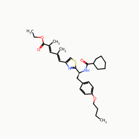 CCCCOc1ccc(C[C@H](NC(=O)C2CCCCC2)c2nc(/C=C(C)/C=C(\C)C(=O)OCC)cs2)cc1